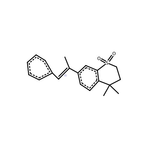 C/C(=C\c1ccccc1)c1ccc2c(c1)S(=O)(=O)CCC2(C)C